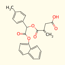 C=C(CC(=O)O)C(=O)OC(C(=O)Oc1cccc2ccccc12)c1ccc(C)cc1